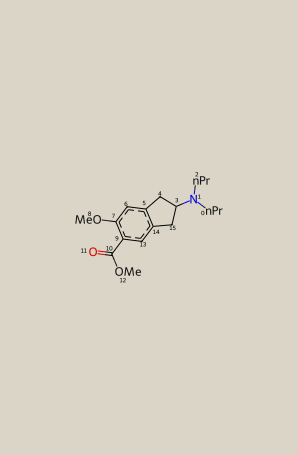 CCCN(CCC)C1Cc2cc(OC)c(C(=O)OC)cc2C1